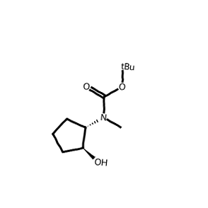 CN(C(=O)OC(C)(C)C)[C@H]1CCC[C@@H]1O